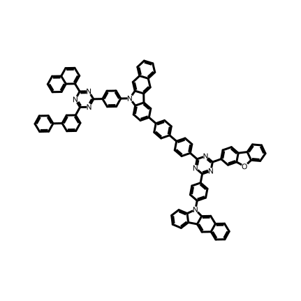 c1ccc(-c2cccc(-c3nc(-c4ccc(-n5c6ccc(-c7ccc(-c8ccc(-c9nc(-c%10ccc(-n%11c%12ccccc%12c%12cc%13ccccc%13cc%12%11)cc%10)nc(-c%10ccc%11c(c%10)oc%10ccccc%10%11)n9)cc8)cc7)cc6c6cc7ccccc7cc65)cc4)nc(-c4cccc5ccccc45)n3)c2)cc1